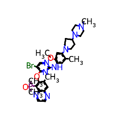 COc1cc(N2CCC(N3CCN(C)CC3)CC2)c(C)cc1Nc1ncc(Br)c(Oc2c(C)cc3nccnc3c2P(C)(C)=O)n1